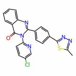 Cc1nnc(-c2ccc(-c3nc4ccccc4c(=O)n3-c3ccc(Cl)cn3)cc2)s1